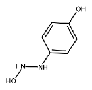 ONNc1ccc(O)cc1